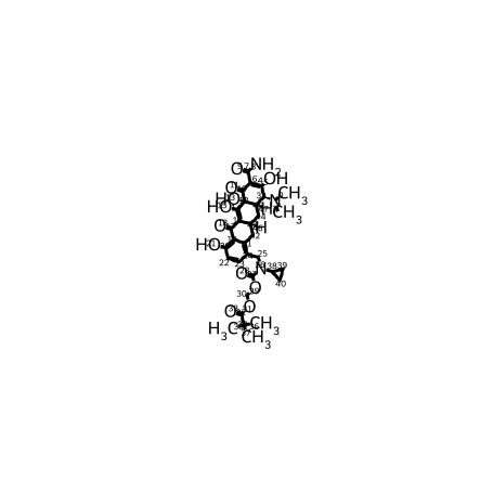 CN(C)[C@@H]1C(O)=C(C(N)=O)C(=O)[C@@]2(O)C(O)=C3C(=O)c4c(O)ccc(CN(C(=O)OCOC(=O)C(C)(C)C)C5CC5)c4C[C@H]3C[C@@H]12